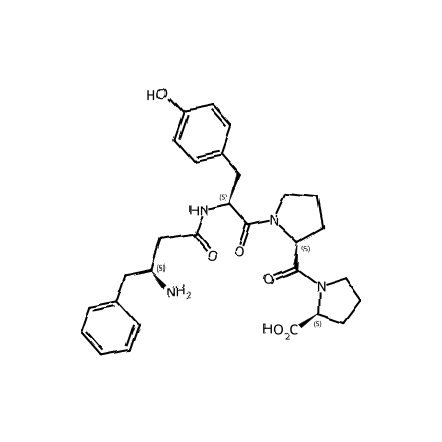 N[C@H](CC(=O)N[C@@H](Cc1ccc(O)cc1)C(=O)N1CCC[C@H]1C(=O)N1CCC[C@H]1C(=O)O)Cc1ccccc1